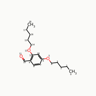 CCCCCOc1ccc(C=O)c(OCCCCC)c1